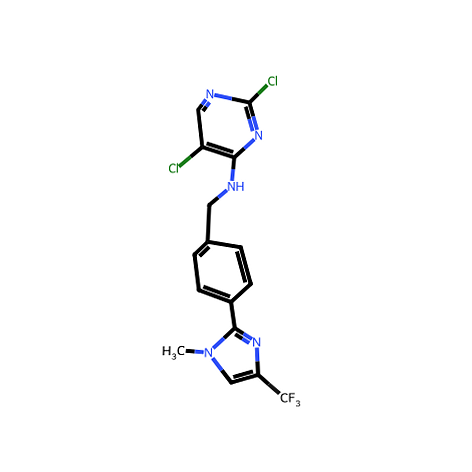 Cn1cc(C(F)(F)F)nc1-c1ccc(CNc2nc(Cl)ncc2Cl)cc1